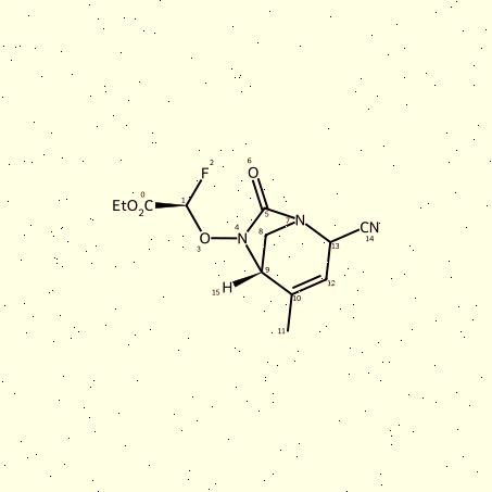 CCOC(=O)[C@@H](F)ON1C(=O)N2C[C@@H]1C(C)=CC2C#N